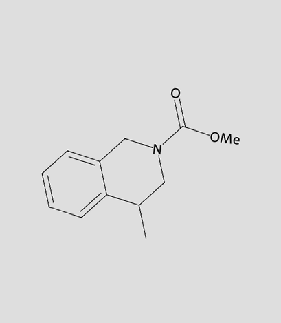 COC(=O)N1Cc2ccccc2C(C)C1